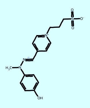 CN(/N=C/c1cc[n+](CCCS(=O)(=O)[O-])cc1)c1ccc(O)cc1